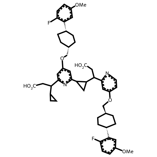 COc1ccc(F)c([C@H]2CC[C@H](COc3ccnc(C(CC(=O)O)C4CC4c4cc(OC[C@H]5CC[C@@H](c6cc(OC)ccc6F)CC5)cc(C(CC(=O)O)C5CC5)n4)c3)CC2)c1